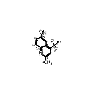 Cc1cc(C(F)(F)F)c2cc(O)ccc2n1